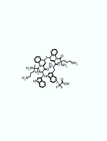 C[C@](N)(CCCN)C(=O)N1C(C(=O)[C@@H](N)Cc2c[nH]c3ccccc23)=CC(SC2C=C(C(=O)[C@@H](N)Cc3c[nH]c4ccccc34)N(C(=O)[C@@](C)(N)CCCN)c3ccccc32)c2ccccc21.O=C(O)C(F)(F)F